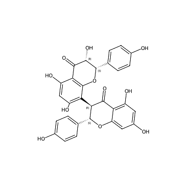 O=C1c2c(O)cc(O)cc2O[C@H](c2ccc(O)cc2)[C@H]1c1c(O)cc(O)c2c1O[C@@H](c1ccc(O)cc1)[C@@H](O)C2=O